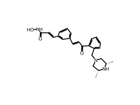 C[C@@H]1CN(Cc2ccccc2C(=O)C=Cc2cccc(C=CC(=O)NO)c2)C[C@H](C)N1